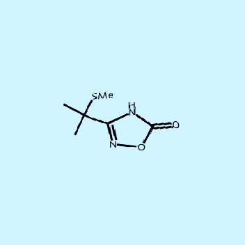 CSC(C)(C)c1noc(=O)[nH]1